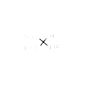 CCOC(=O)C(C)(NC(C)=O)C(=O)OCC